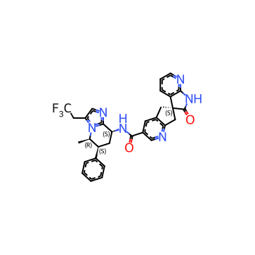 C[C@@H]1[C@H](c2ccccc2)C[C@H](NC(=O)c2cnc3c(c2)C[C@@]2(C3)C(=O)Nc3ncccc32)c2ncc(CC(F)(F)F)n21